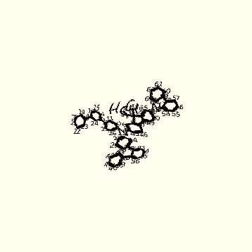 CCC1(CC)c2cc(N(c3ccc(-c4cccc(-c5ccccc5)c4)cc3)c3cccc(-c4ccccc4-c4ccccc4)c3)ccc2-c2ccc(-n3c4ccccc4c4ccccc43)cc21